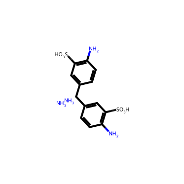 N.N.Nc1ccc(Cc2ccc(N)c(S(=O)(=O)O)c2)cc1S(=O)(=O)O